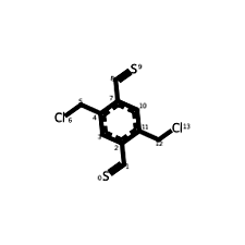 S=Cc1cc(CCl)c(C=S)cc1CCl